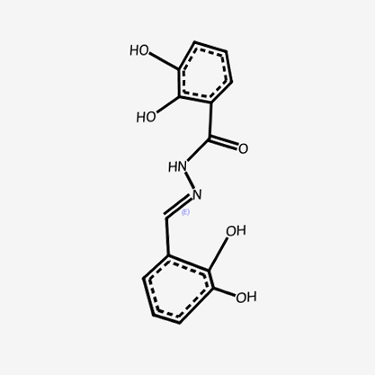 O=C(N/N=C/c1cccc(O)c1O)c1cccc(O)c1O